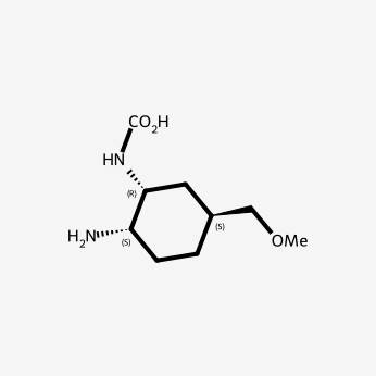 COC[C@H]1CC[C@H](N)[C@H](NC(=O)O)C1